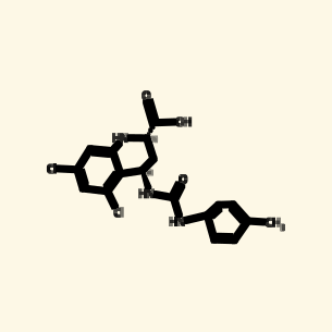 Cc1ccc(NC(=O)N[C@@H]2C[C@@H](C(=O)O)Nc3cc(Cl)cc(Cl)c32)cc1